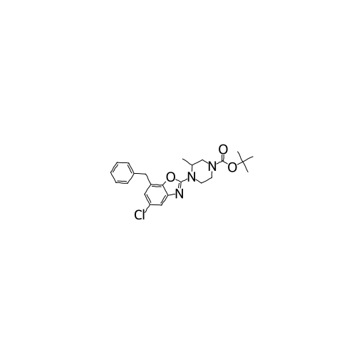 CC1CN(C(=O)OC(C)(C)C)CCN1c1nc2cc(Cl)cc(Cc3ccccc3)c2o1